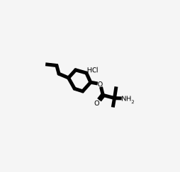 CCCC1CCC(OC(=O)C(C)(C)N)CC1.Cl